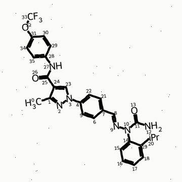 Cc1nn(-c2ccc(/C=N/N(C(N)=O)c3ccccc3C(C)C)cc2)cc1C(=O)Nc1ccc(OC(F)(F)F)cc1